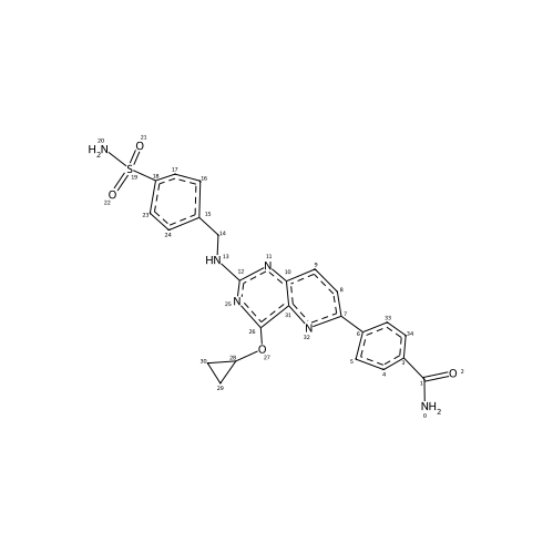 NC(=O)c1ccc(-c2ccc3nc(NCc4ccc(S(N)(=O)=O)cc4)nc(OC4CC4)c3n2)cc1